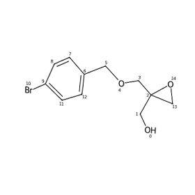 OCC1(COCc2ccc(Br)cc2)CO1